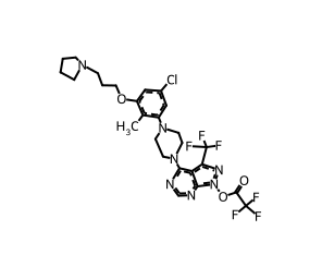 Cc1c(OCCCN2CCCC2)cc(Cl)cc1N1CCN(c2ncnc3c2c(C(F)(F)F)nn3OC(=O)C(F)(F)F)CC1